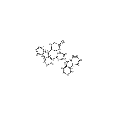 N#CC1=CCC(n2c3ccccc3c3cccc(-c4cccc(N5c6ccccc6C6C=CC=CC65)c4)c32)CC1